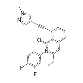 CCc1cc2cccc(C#Cc3cnn(C)c3)c2c(=O)n1-c1ccc(F)c(F)c1